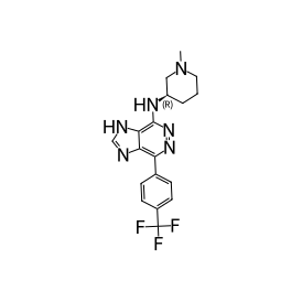 CN1CCC[C@@H](Nc2nnc(-c3ccc(C(F)(F)F)cc3)c3nc[nH]c23)C1